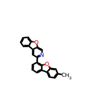 Cc1ccc2c(c1)oc1c(-c3cc4c(cn3)oc3ccccc34)cccc12